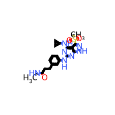 CNC(=O)CCc1cccc(Nc2nc(NC3CC3)c3c(S(C)(=O)=O)n[nH]c3n2)c1